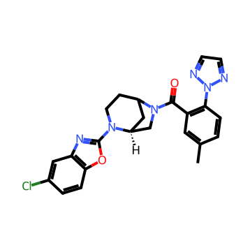 Cc1ccc(-n2nccn2)c(C(=O)N2C[C@@H]3CC2CCN3c2nc3cc(Cl)ccc3o2)c1